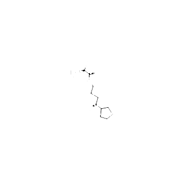 C=C(C)C(=O)OCCCC(=O)C1CCCC1